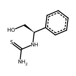 NC(=S)N[C@@H](CO)c1ccccc1